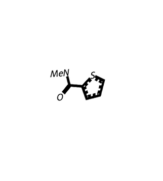 CNC(=O)c1cccs1